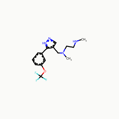 CNCCN(C)Cc1cn[nH]c1-c1cccc(OC(F)(F)F)c1